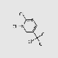 ClC1=NC=C(C(Cl)(Cl)Cl)CN1Cl